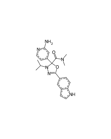 CC(C)N1N=C(c2ccc3[nH]ccc3c2)OC1(C(=O)N(C)C)c1ccnc(N)c1